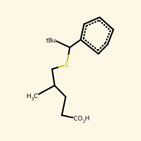 CC(CCC(=O)O)CSC(c1ccccc1)C(C)(C)C